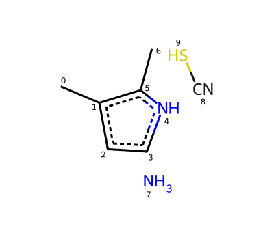 Cc1cc[nH]c1C.N.N#CS